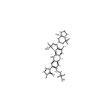 Cn1nnn(-c2cc(Nc3ncc(F)c(N(CC(C)(C)O)[C@@H]4C[C@H]5CCCN5C(C)(C)C4)n3)c(F)cc2OCC(C)(C)O)c1=O